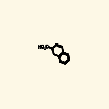 O=C(O)N1Cc2ccccc2C=N1